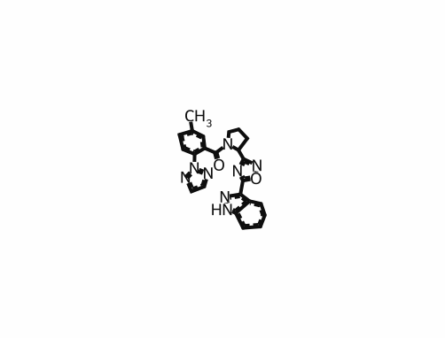 Cc1ccc(-n2nccn2)c(C(=O)N2CCCC2c2noc(-c3n[nH]c4ccccc34)n2)c1